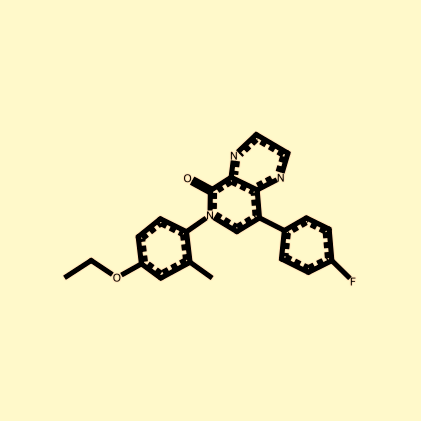 CCOc1ccc(-n2cc(-c3ccc(F)cc3)c3nccnc3c2=O)c(C)c1